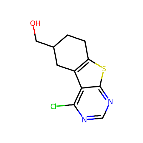 OCC1CCc2sc3ncnc(Cl)c3c2C1